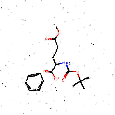 COC(=O)CCC(NC(=O)OC(C)(C)C)C(=O)O.c1ccccc1